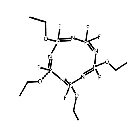 CCOP1(F)=NP(F)(F)=NP(F)(OCC)=NP(F)(OCC)=NP(F)(OCC)=N1